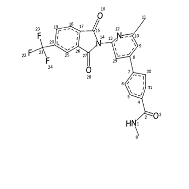 CNC(=O)c1ccc(-c2cc(C)nc(N3C(=O)c4ccc(C(F)(F)F)cc4C3=O)c2)cc1